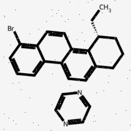 CC[C@@H]1CCCc2ccc3c(ccc4c(Br)cccc43)c21.c1cnccn1